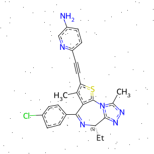 CC[C@@H]1N=C(c2ccc(Cl)cc2)c2c(sc(C#Cc3ccc(N)cn3)c2C)-n2c(C)nnc21